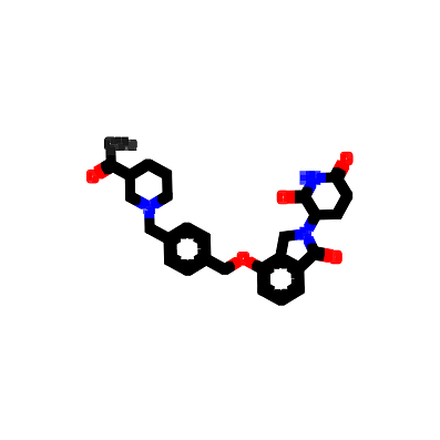 COC(=O)C1CCCN(Cc2ccc(COc3cccc4c3CN(C3CCC(=O)NC3=O)C4=O)cc2)C1